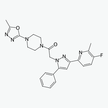 Cc1nnc(N2CCN(C(=O)Cn3nc(-c4ccc(F)c(C)n4)cc3-c3ccccc3)CC2)o1